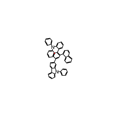 c1ccc(N(c2ccccc2)c2ccccc2-c2ccc(-c3ccc4c5ccccc5n(-c5ccccc5)c4c3)cc2-c2cccc3ccccc23)cc1